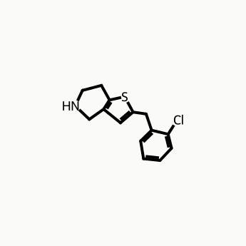 Clc1ccccc1Cc1cc2c(s1)CCNC2